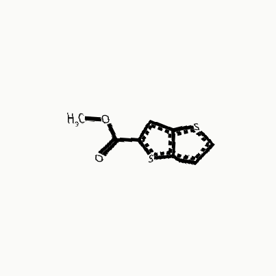 COC(=O)c1cc2sccc2s1